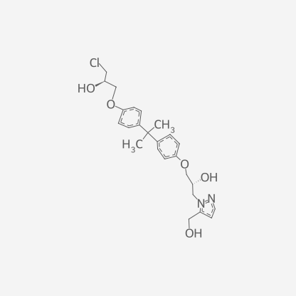 CC(C)(c1ccc(OC[C@@H](O)CCl)cc1)c1ccc(OC[C@H](O)Cn2nccc2CO)cc1